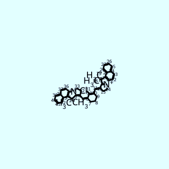 CC1(C)C2=C(/C=C3/CCCC(/C=C4\CC[N+]5=C4C(C)(C)c4c5ccc5ccccc45)=C3Cl)CCN2c2ccc3ccccc3c21